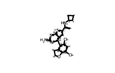 C=C(NC1CCC1)c1cc2c(-c3c(Cl)cc(Cl)c4c3CCO4)nc(N)nc2s1